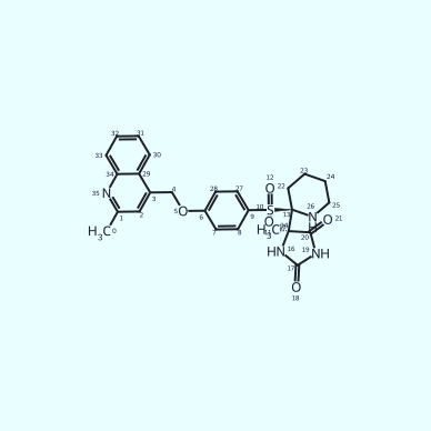 Cc1cc(COc2ccc(S(=O)(=O)[C@@]3([C@]4(C)NC(=O)NC4=O)CCCCN3)cc2)c2ccccc2n1